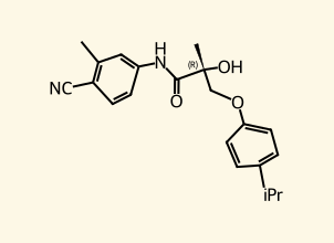 Cc1cc(NC(=O)[C@](C)(O)COc2ccc(C(C)C)cc2)ccc1C#N